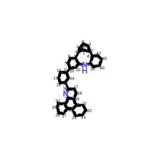 Cc1c2cccc1-c1ccc(-c3cccc(-c4ccc5c6ccccc6c6ccccc6c5n4)c3)cc1Nc1ccccc1-2